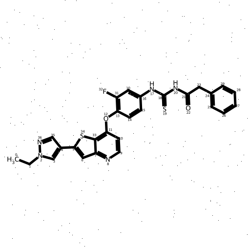 CCn1cc(-c2cc3nccc(Oc4ccc(NC(=S)NC(=O)Cc5ccccc5)cc4F)c3s2)cn1